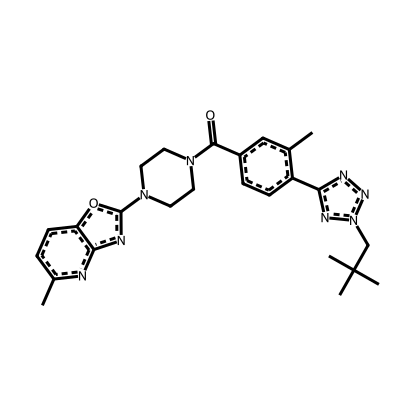 Cc1ccc2oc(N3CCN(C(=O)c4ccc(-c5nnn(CC(C)(C)C)n5)c(C)c4)CC3)nc2n1